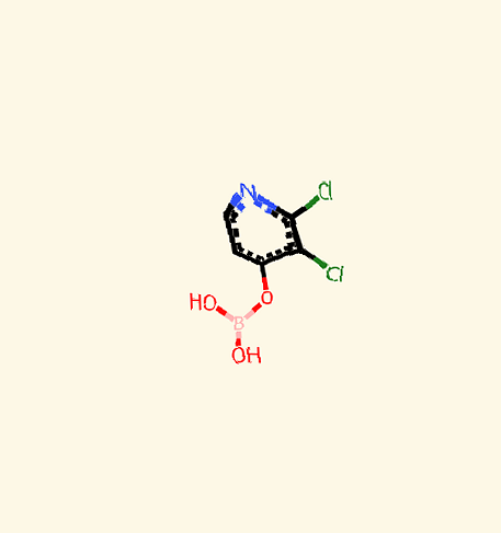 OB(O)Oc1ccnc(Cl)c1Cl